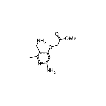 COC(=O)COc1cc(N)nc(C)c1CN